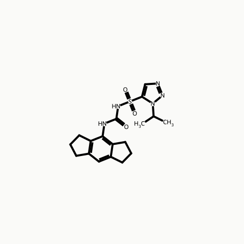 CC(C)n1nncc1S(=O)(=O)NC(=O)Nc1c2c(cc3c1CCC3)CCC2